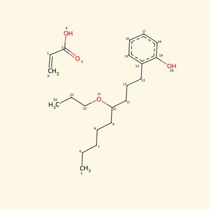 C=CC(=O)O.CCCCCC(CCCc1ccccc1O)OCCC